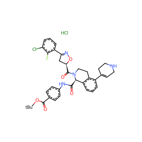 CC(C)(C)OC(=O)c1ccc(NC(=O)[C@@H]2c3cccc(C4=CCNCC4)c3CCN2C(=O)[C@H]2CC(c3cccc(Cl)c3F)=NO2)cc1.Cl